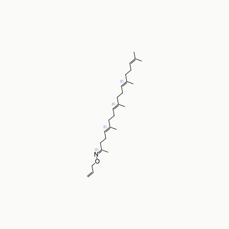 C=CCO/N=C(\C)CC/C=C(\C)CC/C=C(\C)CC/C=C(\C)CCC=C(C)C